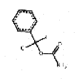 NC(=O)OC(Cl)(I)c1ccccc1